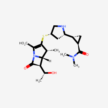 C[C@@H](O)[C@H]1C(=O)N2C(C(=O)O)=C(S[C@@H]3CN[C@H]([C@@H]4C[C@H]4C(=O)N(C)C)C3)[C@H](C)[C@H]12